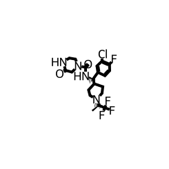 C[C@@H](N1CCC([C@@H](NC(=O)N2CCNC(=O)C2)c2ccc(F)c(Cl)c2)CC1)C(F)(F)F